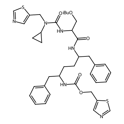 CC(C)COCC(NC(=O)N(Cc1cncs1)C1CC1)C(=O)NC(CCC(Cc1ccccc1)NC(=O)OCc1cncs1)Cc1ccccc1